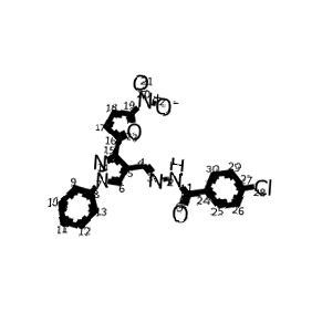 O=C(NN=Cc1cn(-c2ccccc2)nc1-c1ccc([N+](=O)[O-])o1)c1ccc(Cl)cc1